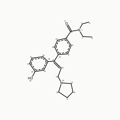 CCN(CC)C(=O)c1ccc(/C(=C/CN2CCCC2)c2cccc(O)c2)cc1